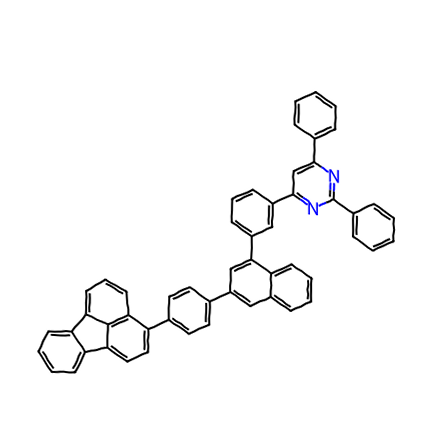 c1ccc(-c2cc(-c3cccc(-c4cc(-c5ccc(-c6ccc7c8c(cccc68)-c6ccccc6-7)cc5)cc5ccccc45)c3)nc(-c3ccccc3)n2)cc1